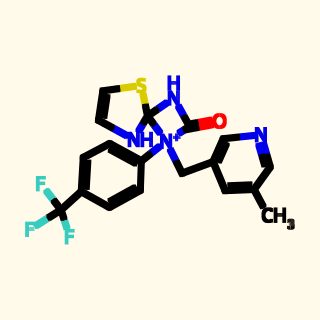 Cc1cncc(C[N+]2(c3ccc(C(F)(F)F)cc3)C(=O)NC23NC=CS3)c1